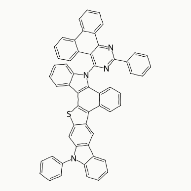 c1ccc(-c2nc(-n3c4ccccc4c4c5sc6cc7c(cc6c5c5ccccc5c43)c3ccccc3n7-c3ccccc3)c3c4ccccc4c4ccccc4c3n2)cc1